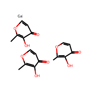 Cc1occc(=O)c1O.Cc1occc(=O)c1O.Cc1occc(=O)c1O.[Ga]